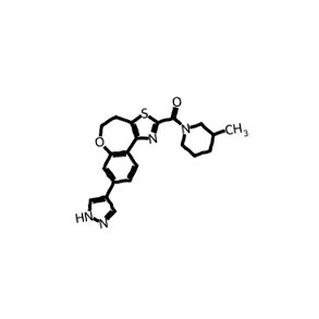 CC1CCCN(C(=O)c2nc3c(s2)CCOc2cc(-c4cn[nH]c4)ccc2-3)C1